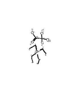 CC[P+](CC)(CC)CC.O=C([O-])C(Cl)(Cl)Cl